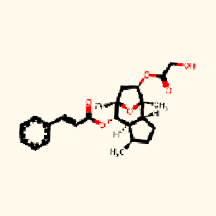 CC(C)[C@@]12C[C@@H](OC(=O)CO)[C@@](C)(O1)[C@@H]1CC[C@@H](C)[C@H]1[C@@H]2OC(=O)/C=C/c1ccccc1